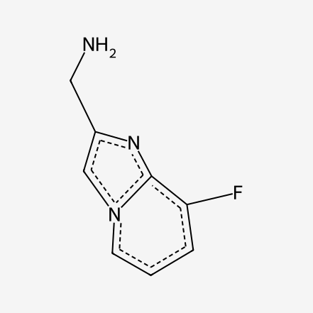 NCc1cn2cccc(F)c2n1